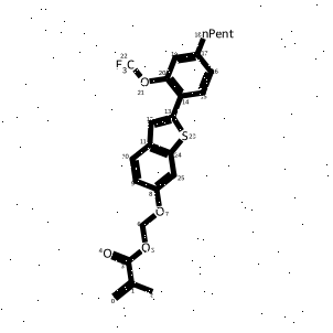 C=C(C)C(=O)OCOc1ccc2cc(-c3ccc(CCCCC)cc3OC(F)(F)F)sc2c1